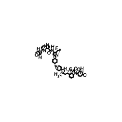 C[C@@H](CCc1cccc2c1n(C)c(=O)n2C1CCC(=O)NC1=O)OC1CCN(C[C@H]2CC[C@H](n3cc(NC(=O)c4cnn5ccc(N6C[C@H]7C[C@@H]6CO7)nc45)c(C(F)F)n3)CC2)CC1